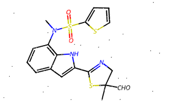 CN(c1cccc2cc(C3=NCC(C)(C=O)S3)[nH]c12)S(=O)(=O)c1cccs1